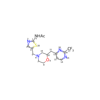 CC(=O)Nc1ncc(CN2CCOC(Cc3ccnc(C(F)(F)F)n3)C2)s1